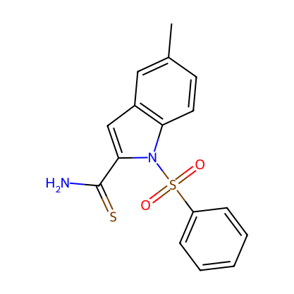 Cc1ccc2c(c1)cc(C(N)=S)n2S(=O)(=O)c1ccccc1